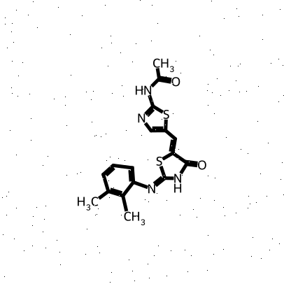 CC(=O)Nc1ncc(/C=C2\S/C(=N\c3cccc(C)c3C)NC2=O)s1